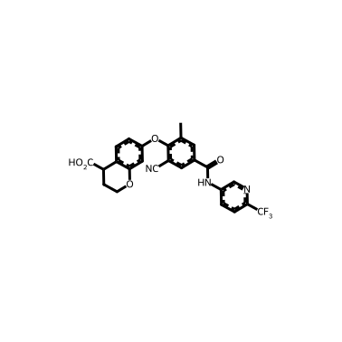 Cc1cc(C(=O)Nc2ccc(C(F)(F)F)nc2)cc(C#N)c1Oc1ccc2c(c1)OCCC2C(=O)O